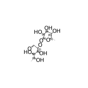 C[C@@H]1O[C@@H](OO[C@H](C=O)[C@@H](O)[C@H](O)[C@@H](C)O)[C@H](O)[C@H](O)[C@H]1O